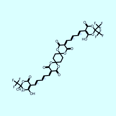 CC1(C(F)(F)F)OC(=O)C(/C=C/C=C/C=C2C(=O)OC3(CCC4(CC3)OC(=O)C(=C/C=C/C=C/C3=C(O)OC(C(F)(F)F)(C(F)(F)F)OC3=O)C(=O)O4)OC2=O)=C(O)O1